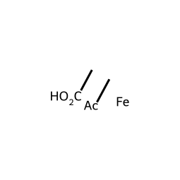 CC(=O)O.CC(C)=O.[Fe]